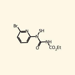 CCOC(=O)NC(=O)N(S)c1cccc(Br)n1